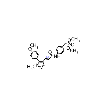 COc1ccc(-c2c(/C=C/C(=O)Nc3ccc(CP(=O)(OC)OC)cc3)cnn2C)cc1